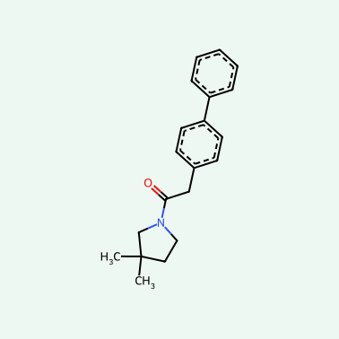 CC1(C)CCN(C(=O)Cc2ccc(-c3ccccc3)cc2)C1